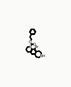 O=C(OCCc1ccccc1)N1CCCc2cc3c(c(Br)c21)CCNCC3